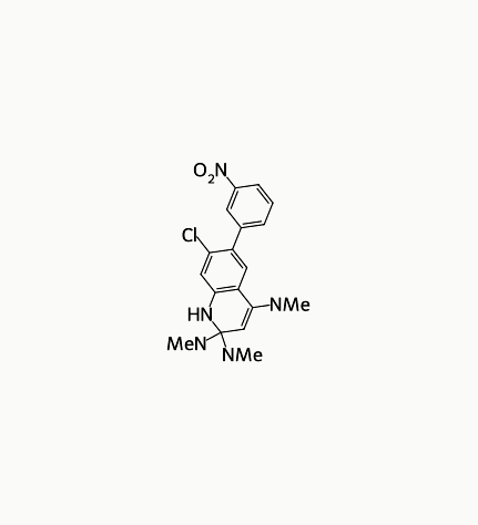 CNC1=CC(NC)(NC)Nc2cc(Cl)c(-c3cccc([N+](=O)[O-])c3)cc21